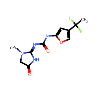 CCCN1CC(=O)NC1=NC(=O)Nc1cc(C(F)(F)C(F)(F)F)co1